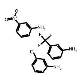 Nc1cccc(C(F)(F)F)c1.Nc1cccc(Cl)c1.Nc1cccc([N+](=O)[O-])c1